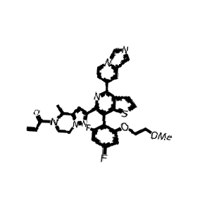 C=CC(=O)N1CCn2nc(-c3nc(-c4ccn5cncc5c4)c4ccsc4c3-c3c(F)cc(F)cc3OCCOC)cc2C1C